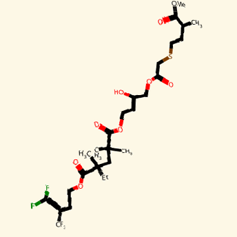 CCC(C)(CC(C)(C)C(=O)OCCC(O)COC(=O)CSCCC(C)C(=O)OC)C(=O)OCCC(=C(F)F)C(F)(F)F